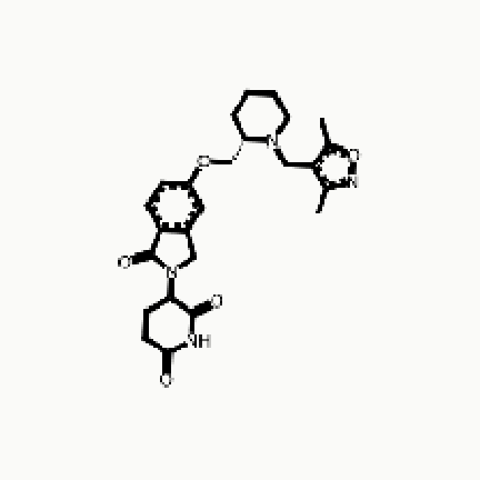 Cc1noc(C)c1CN1CCCC[C@H]1COc1ccc2c(c1)CN(C1CCC(=O)NC1=O)C2=O